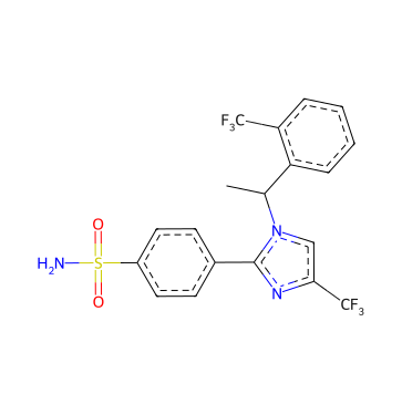 CC(c1ccccc1C(F)(F)F)n1cc(C(F)(F)F)nc1-c1ccc(S(N)(=O)=O)cc1